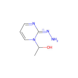 CC(O)n1cccn/c1=N/N